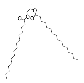 [CH2][C@@H](COC(=O)CCCCCCCCCCCCCCC)OC(=O)CCCCCCCCCCCCCCC